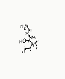 CCC[C@H](C(C)C)C(O)NCCN